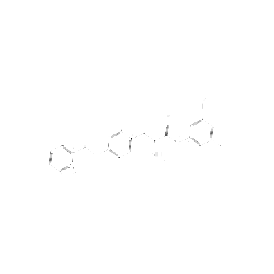 NC(Cc1ccc(OCc2ccccn2)cc1)C(=O)Nc1cc(F)cc(F)c1